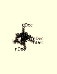 CCCCCCCCCCCCCCCCCCS(=O)(=O)Nc1c(NS(=O)(=O)CCCCCCCCCCCCCCCCCC)c(NS(=O)(=O)CCCCCCCCCCCCCCCCCC)c2c3nc4nc(nc5[nH]c(nc6nc(nc([nH]3)c2c1NS(=O)(=O)CCCCCCCCCCCCCCCCCC)-c1ccccc1-6)c1ccccc51)-c1ccccc1-4